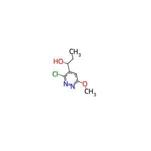 CCC(O)c1cc(OC)nnc1Cl